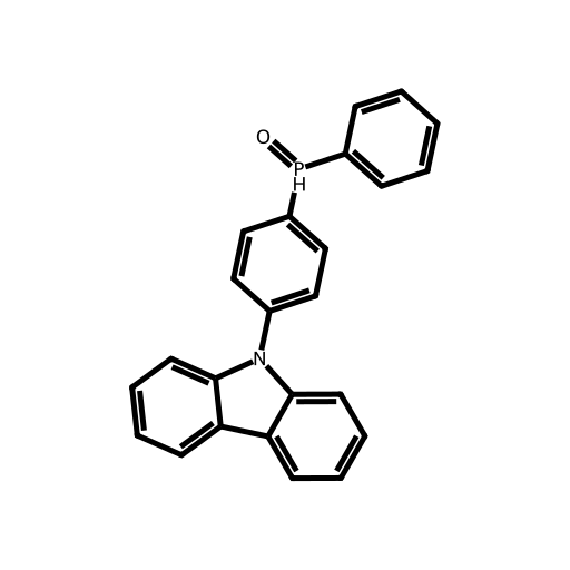 O=[PH](c1ccccc1)c1ccc(-n2c3ccccc3c3ccccc32)cc1